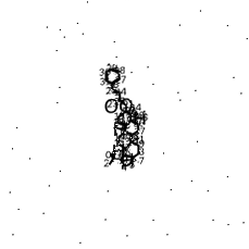 C=C(C)[C@@H]1CC[C@]2(C)CC[C@]3(C)[C@H](CC[C@@H]4[C@@]5(C)CCC(OC(=O)C=Cc6ccccc6)C(C)(C)[C@@H]5CC[C@]43C)[C@@H]12